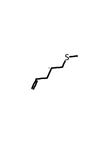 C=CC[CH]CSC